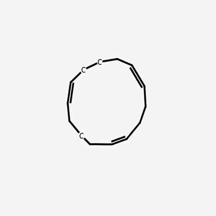 C1=CCCCC=CCCCC=CCC1